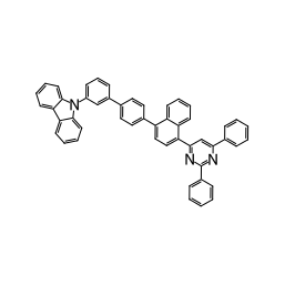 c1ccc(-c2cc(-c3ccc(-c4ccc(-c5cccc(-n6c7ccccc7c7ccccc76)c5)cc4)c4ccccc34)nc(-c3ccccc3)n2)cc1